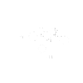 Cc1cccc(-c2nc3c(cnn3-c3ccccc3)c(=O)n2-c2ccc(Br)cc2)c1